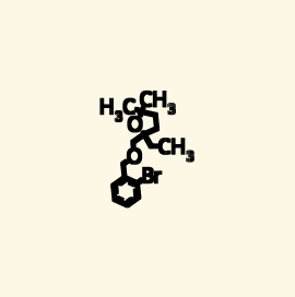 CCC1(COCc2ccccc2Br)CCC(C)(C)O1